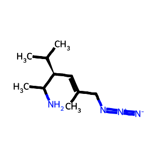 C/C(=C\[C@H](C(C)C)C(C)N)CN=[N+]=[N-]